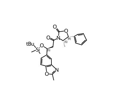 Cc1nc2cc([C@H](CC(=O)N3C(=O)O[C@H](c4ccccc4)[C@@H]3C)O[Si](C)(C)C(C)(C)C)ccc2o1